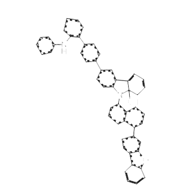 CC12CC=CC=C1c1cc(-c3ccc(-c4ccccc4Nc4ccccc4)cc3)ccc1N2c1cccc2c(-c3ccc4c5c(oc4c3)C=C=C=C5)cccc12